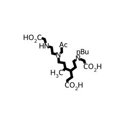 CCCCN(CCC(CCC(=O)O)C(C)CCN(CCNCC(=O)O)CC(C)=O)CC(=O)O